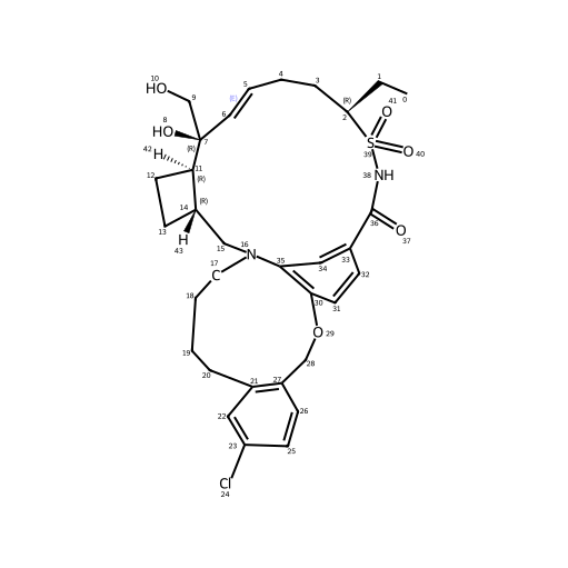 CC[C@@H]1CC/C=C/[C@@](O)(CO)[C@@H]2CC[C@H]2CN2CCCCc3cc(Cl)ccc3COc3ccc(cc32)C(=O)NS1(=O)=O